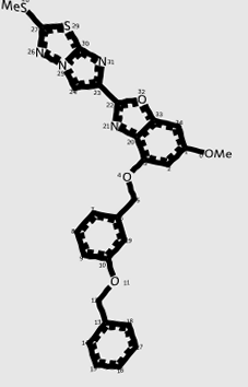 COc1cc(OCc2cccc(OCc3ccccc3)c2)c2nc(-c3cn4nc(SC)sc4n3)oc2c1